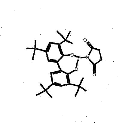 CC(C)(C)c1cc(C(C)(C)C)c2op(N3C(=O)CCC3=O)oc3c(C(C)(C)C)cc(C(C)(C)C)cc3c2c1